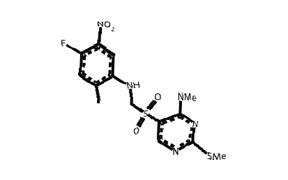 CNc1nc(SC)ncc1S(=O)(=O)CNc1cc([N+](=O)[O-])c(F)cc1C